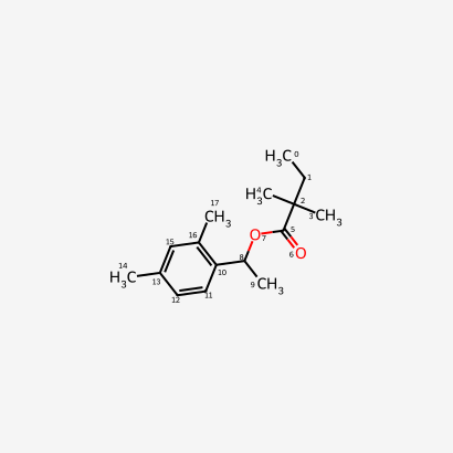 CCC(C)(C)C(=O)OC(C)c1ccc(C)cc1C